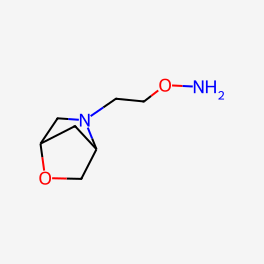 NOCCN1CC2CC1CO2